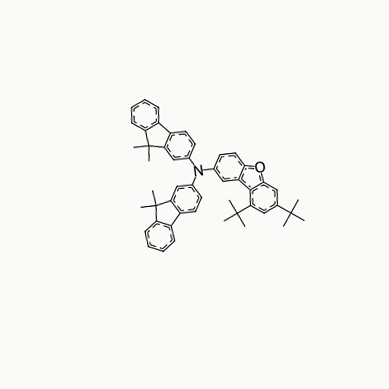 CC(C)(C)c1cc(C(C)(C)C)c2c(c1)oc1ccc(N(c3ccc4c(c3)C(C)(C)c3ccccc3-4)c3ccc4c(c3)C(C)(C)c3ccccc3-4)cc12